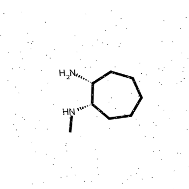 CN[C@H]1CCCCC[C@H]1N